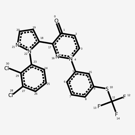 O=c1ccn(-c2cccc(SC(F)(F)F)c2)nc1-c1ccnn1-c1cccc(Cl)c1Cl